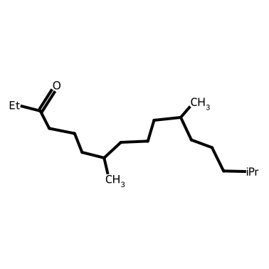 CCC(=O)CCCC(C)CCCC(C)CCCC(C)C